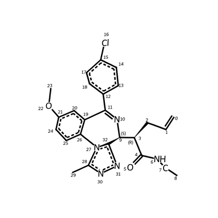 C=CC[C@@H](C(=O)NCC)[C@@H]1N=C(c2ccc(Cl)cc2)c2cc(OC)ccc2-n2c(C)nnc21